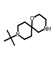 CC(C)(C)N1CCC2(CC1)CNCCO2